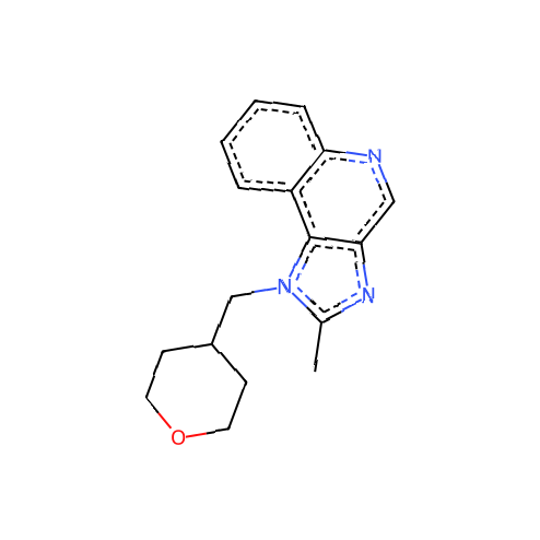 Cc1nc2cnc3ccccc3c2n1CC1CCOCC1